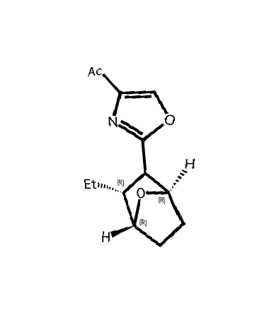 CC[C@@H]1C(c2nc(C(C)=O)co2)[C@H]2CC[C@H]1O2